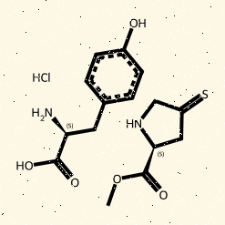 COC(=O)[C@@H]1CC(=S)CN1.Cl.N[C@@H](Cc1ccc(O)cc1)C(=O)O